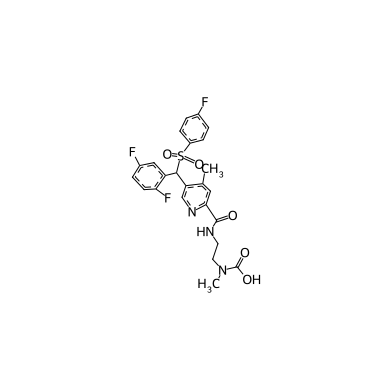 Cc1cc(C(=O)NCCN(C)C(=O)O)ncc1C(c1cc(F)ccc1F)S(=O)(=O)c1ccc(F)cc1